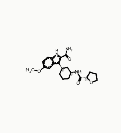 COc1ccc2[nH]c(C(N)=O)c([C@@H]3CCC[C@H](NC(=O)[C@@H]4CCCO4)C3)c2c1